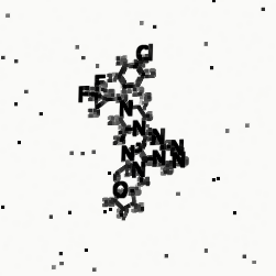 Cc1nc2c(N3C[C@@H](C)N([C@@H](c4ccc(Cl)cc4)[C@H]4CC4(F)F)C[C@@H]3C)nc3nncn3c2n1C[C@@H]1CCCO1